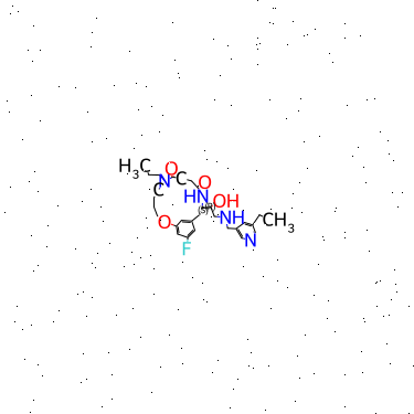 CCCN1CCCCOc2cc(F)cc(c2)C[C@@H]([C@H](O)CNCc2cncc(CC)c2)NC(=O)CCC1=O